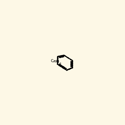 [GeH4].c1ccccc1